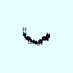 Cn1c2ccncc2c2ccc(-c3ccc(OC4CC5(C4)CN(C(=O)CN4CCN(CC6CNC6)CC4)C5)nc3)cc21